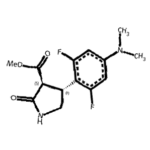 COC(=O)[C@@H]1C(=O)NC[C@H]1c1c(F)cc(N(C)C)cc1F